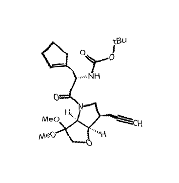 C#C[C@@H]1CN(C(=O)[C@@H](NC(=O)OC(C)(C)C)C2=CCCC2)[C@H]2[C@@H]1OCC2(OC)OC